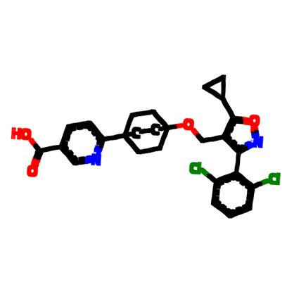 O=C(O)c1ccc(C23CCC(OCc4c(-c5c(Cl)cccc5Cl)noc4C4CC4)(CC2)CC3)nc1